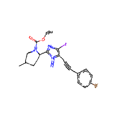 CC1CC(c2nc(I)c(C#Cc3ccc(Br)cc3)[nH]2)N(C(=O)OC(C)(C)C)C1